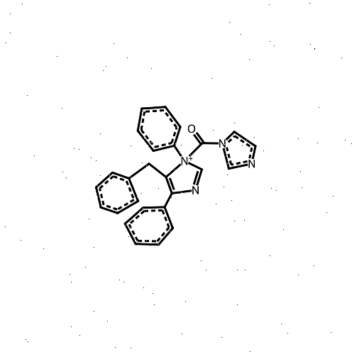 O=C(n1ccnc1)[N+]1(c2ccccc2)C=NC(c2ccccc2)=C1Cc1ccccc1